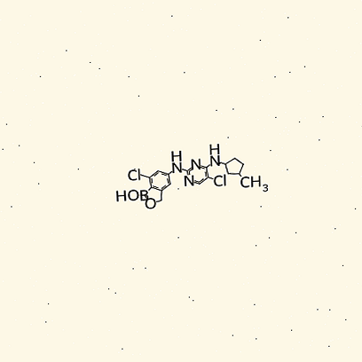 CC1CCC(Nc2nc(Nc3cc(Cl)c4c(c3)COB4O)ncc2Cl)C1